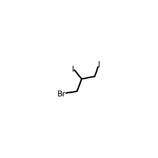 BrCC(I)CI